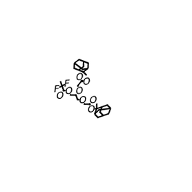 CC(F)(F)C(=O)OCC(COCC(=O)OC1(C)C2CC3CC(C2)CC1C3)OCC(=O)OC1(C)C2CC3CC(C2)CC1C3